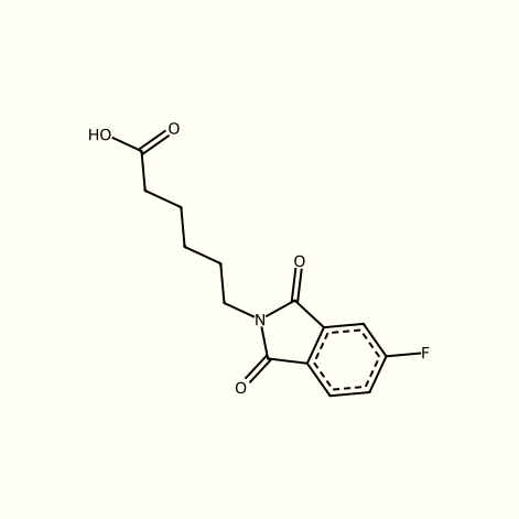 O=C(O)CCCCCN1C(=O)c2ccc(F)cc2C1=O